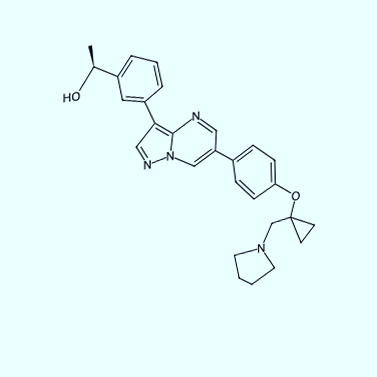 C[C@H](O)c1cccc(-c2cnn3cc(-c4ccc(OC5(CN6CCCC6)CC5)cc4)cnc23)c1